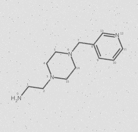 NCCN1CCN(Cc2cccnc2)CC1